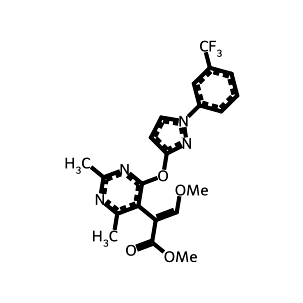 CO/C=C(/C(=O)OC)c1c(C)nc(C)nc1Oc1ccn(-c2cccc(C(F)(F)F)c2)n1